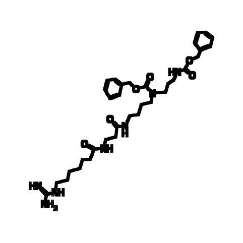 N=C(N)NCCCCCCC(=O)NCCC(=O)NCCCCN(CCCNC(=O)OCc1ccccc1)C(=O)OCc1ccccc1